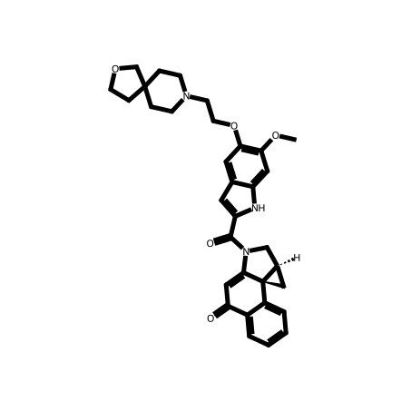 COc1cc2[nH]c(C(=O)N3C[C@H]4C[C@@]45C3=CC(=O)c3ccccc35)cc2cc1OCCN1CCC2(CCOC2)CC1